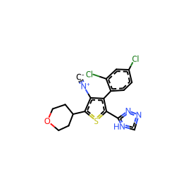 [C-]#[N+]c1c(C2CCOCC2)sc(-c2nnc[nH]2)c1-c1ccc(Cl)cc1Cl